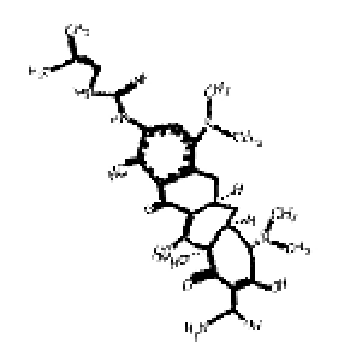 CC(C)CNC(=N)Nc1cc(N(C)C)c2c(c1O)C(=O)C1=C(O)[C@]3(O)C(=O)C(C(N)O)=C(O)[C@@H](N(C)C)[C@@H]3C[C@@H]1C2